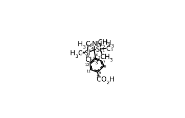 C[Si](C)(C)C(N)(c1ccc(C(=O)O)cc1)[Si](C)(C)C